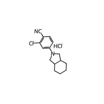 Cl.N#Cc1ccc(N2CC3CCCCC3C2)cc1Cl